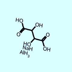 O=C(O)C(O)C(O)C(=O)O.[AlH3].[NaH]